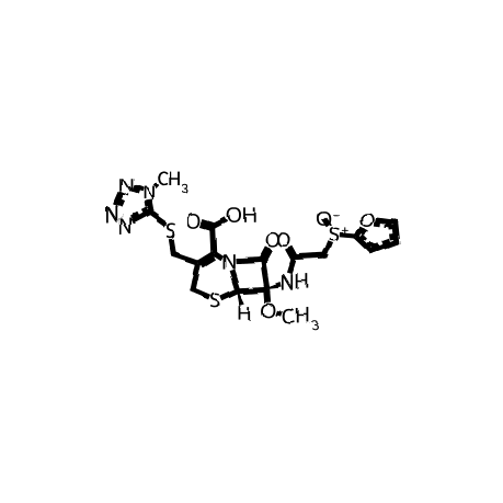 CO[C@@]1(NC(=O)C[S+]([O-])c2ccco2)C(=O)N2C(C(=O)O)=C(CSc3nnnn3C)CS[C@H]21